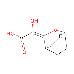 O=C(O)C(O)=C1OC2CCC1CC2